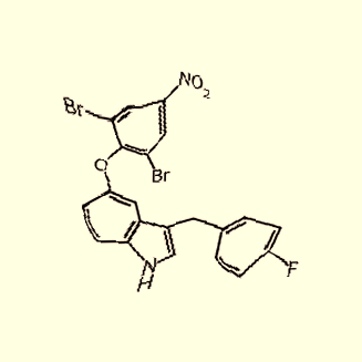 O=[N+]([O-])c1cc(Br)c(Oc2ccc3[nH]cc(Cc4ccc(F)cc4)c3c2)c(Br)c1